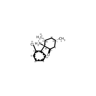 C[C@@H]1CC(=O)[C@](N)(c2ccccc2Cl)[C@H](C)C1